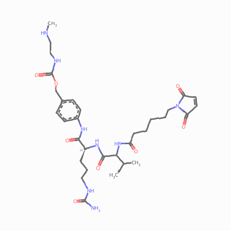 CNCCNC(=O)OCc1ccc(NC(=O)[C@H](CCCNC(N)=O)NC(=O)C(NC(=O)CCCCCN2C(=O)C=CC2=O)C(C)C)cc1